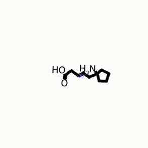 NC1(C/C=C/CC(=O)O)CCCC1